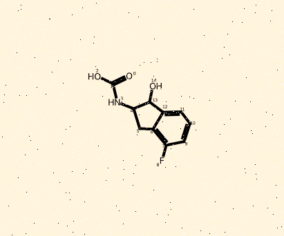 O=C(O)NC1Cc2c(F)cccc2C1O